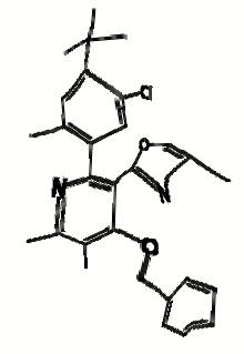 Cc1coc(-c2c(-c3cc(Cl)c(C(C)(C)C)cc3C)nc(C)c(C)c2OCc2ccccc2)n1